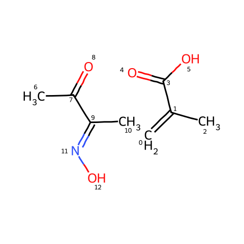 C=C(C)C(=O)O.CC(=O)C(C)=NO